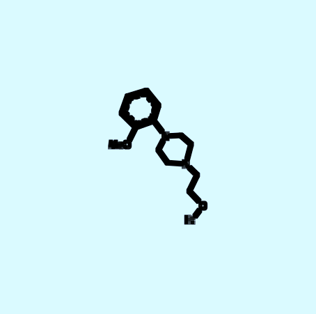 [CH2]COCCN1CCN(c2ccccc2OC)CC1